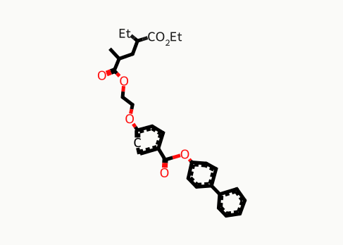 CCOC(=O)C(CC)CC(C)C(=O)OCCOc1ccc(C(=O)Oc2ccc(-c3ccccc3)cc2)cc1